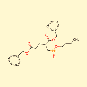 CCCCO[PH](=O)CC(CCC(=O)OCc1ccccc1)C(=O)OCc1ccccc1